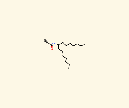 C#CC(=O)NC(CCCCCCC)CCCCCCC